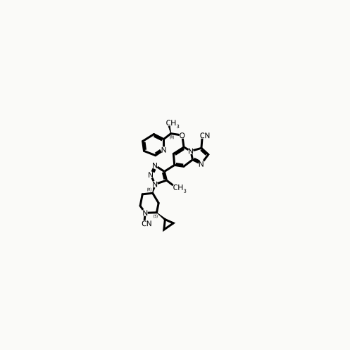 Cc1c(-c2cc(O[C@H](C)c3ccccn3)n3c(C#N)cnc3c2)nnn1[C@@H]1CCN(C#N)[C@H](C2CC2)C1